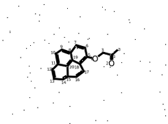 CC(=O)COc1ccc2ccc3cccc4ccc1c2c34